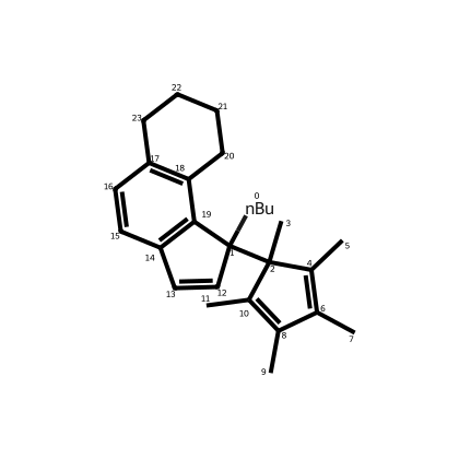 CCCCC1(C2(C)C(C)=C(C)C(C)=C2C)C=Cc2ccc3c(c21)CCCC3